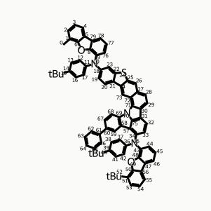 Cc1cccc2c1oc1c(N(c3ccc(C(C)(C)C)cc3)c3ccc4c(c3)sc3cc5ccc6c7ccc(N(c8ccc(C(C)(C)C)cc8)c8cccc9c8oc8c(C(C)(C)C)cccc89)c8c9cc(-c%10ccccc%10)ccc9n(c6c5cc34)c78)cccc12